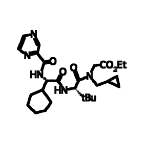 CCOC(=O)CN(CC1CC1)C(=O)[C@@H](NC(=O)[C@@H](NC(=O)c1cnccn1)C1CCCCC1)C(C)(C)C